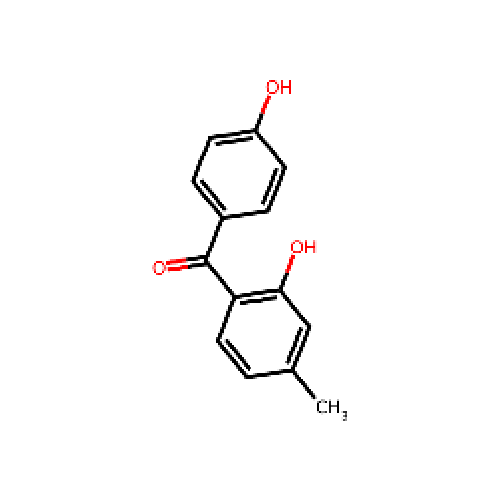 Cc1ccc(C(=O)c2ccc(O)cc2)c(O)c1